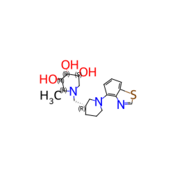 C[C@@H]1[C@@H](O)[C@H](O)[C@@H](O)CN1C[C@H]1CCCN(c2cccc3scnc23)C1